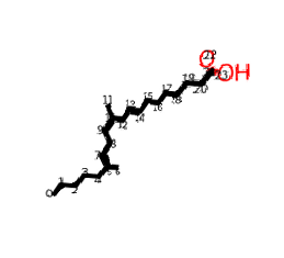 CCCCCC(C)=CCC=C(C)CC=CCCCCCCC(=O)O